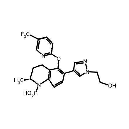 C[C@H]1CCc2c(ccc(-c3cnn(CCO)c3)c2Oc2ccc(C(F)(F)F)cn2)N1C(=O)O